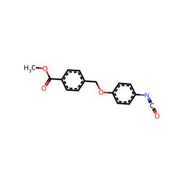 COC(=O)c1ccc(COc2ccc(N=C=O)cc2)cc1